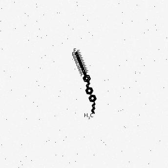 CCCCCC[C@H]1CC[C@H](C2CCC(CCc3ccc(C(F)(F)C(F)(F)C(F)(F)C(F)(F)C(F)(F)C(F)(F)C(F)(F)C(F)(F)C(F)(F)F)cc3)CC2)CC1